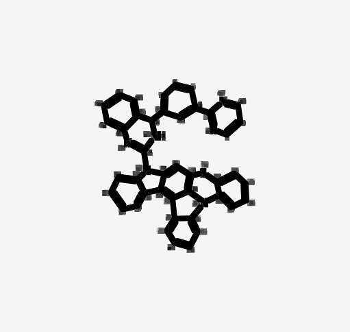 c1cnc(-c2cccc(C3NC(n4c5ccccc5c5c6c7ccccc7n7c6c(cc54)Sc4ccccc4-7)=Nc4ccccc43)c2)nc1